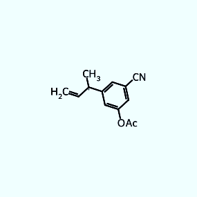 C=C[C](C)c1cc(C#N)cc(OC(C)=O)c1